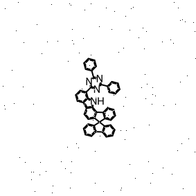 c1ccc(-c2nc(-c3ccccc3)nc(-c3cccc4c3[nH]c3c5c(ccc34)C3(c4ccccc4-c4ccccc43)c3ccccc3-5)n2)cc1